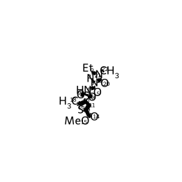 CCc1nn(C(=O)NS(=O)(=O)c2cc(C(=O)OC)sc2C)c(=O)n1C